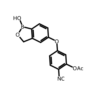 [C-]#[N+]c1ccc(Oc2ccc3c(c2)COB3O)cc1OC(C)=O